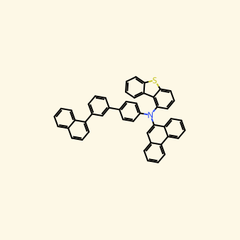 c1cc(-c2ccc(N(c3cc4ccccc4c4ccccc34)c3cccc4sc5ccccc5c34)cc2)cc(-c2cccc3ccccc23)c1